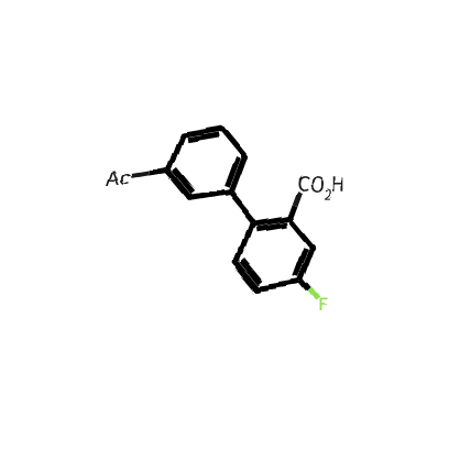 CC(=O)c1cccc(-c2ccc(F)cc2C(=O)O)c1